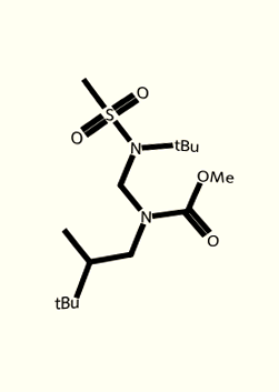 COC(=O)N(CC(C)C(C)(C)C)CN(C(C)(C)C)S(C)(=O)=O